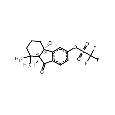 CC1(C)CCC[C@@]2(C)c3cc(OS(=O)(=O)C(F)(F)F)ccc3C(=O)[C@@H]12